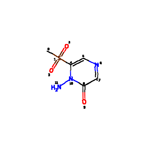 CS(=O)(=O)c1cn[c]c(=O)n1N